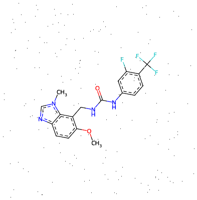 COc1ccc2ncn(C)c2c1CNC(=O)Nc1ccc(C(F)(F)F)c(F)c1